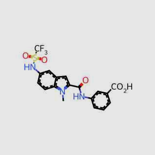 Cn1c(C(=O)Nc2cccc(C(=O)O)c2)cc2cc(NS(=O)(=O)C(F)(F)F)ccc21